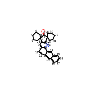 O=C1C2(CCCCC2)c2cc3ccc4cc5ccccc5cc4c3nc2C12CCCCC2